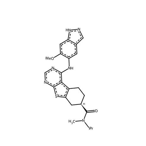 COc1cc2[nH]ncc2cc1Nc1ncnc2sc3c(c12)CC[C@@H](C(=O)N(C)C(C)C)C3